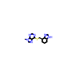 Cn1cnc2c(SCc3cccc4[nH]cnc34)ncnc21